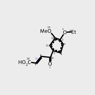 CCOc1ccc(C(=O)/C=C/C(=O)O)cc1OC